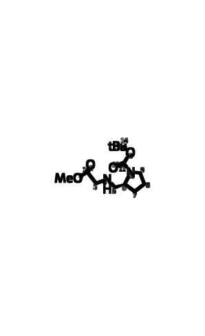 COC(=O)CNC[C@@H]1CCCN1C(=O)OC(C)(C)C